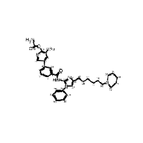 CC(C)(C)c1cc(-c2cccc(C(=O)Nc3nc(CCCCCCN4CCCCC4)cn3-c3ccccc3)c2)cnc1OC(N)=O